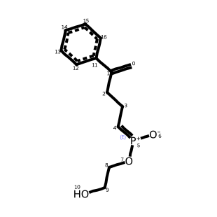 C=C(CC/C=[P+](\[O-])OCCO)c1ccccc1